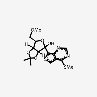 COC[C@H]1OC(O)(c2scc3c(SC)ncnc23)[C@@H]2OC(C)(C)O[C@@H]21